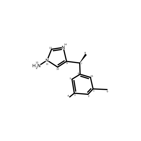 Cc1cc(C)cc([C@H](C)c2cn(N)cn2)c1